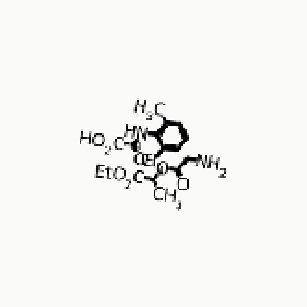 CCOC(=O)C(C)OC(=O)CN.Cc1cccc(Cl)c1N[C@@H](C)C(=O)O